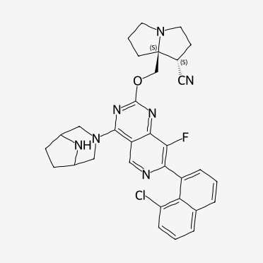 N#C[C@H]1CCN2CCC[C@@]12COc1nc(N2CC3CCC(C2)N3)c2cnc(-c3cccc4cccc(Cl)c34)c(F)c2n1